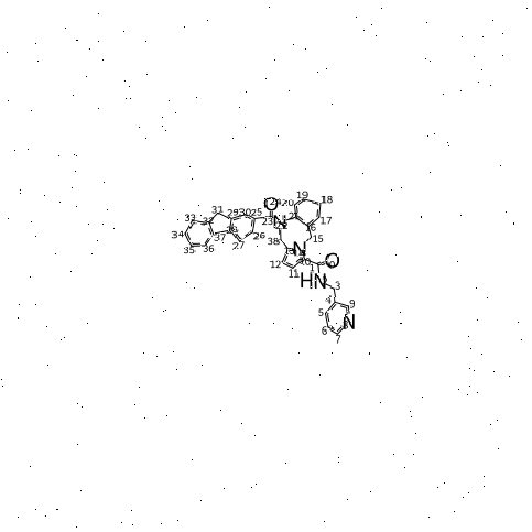 O=C(NCc1cccnc1)c1ccc2n1Cc1ccccc1N(C(=O)c1ccc3c(c1)Cc1ccccc1-3)C2